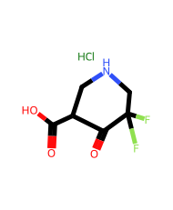 Cl.O=C(O)C1CNCC(F)(F)C1=O